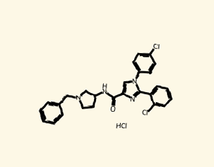 Cl.O=C(NC1CCN(Cc2ccccc2)C1)c1cn(-c2ccc(Cl)cc2)c(-c2ccccc2Cl)n1